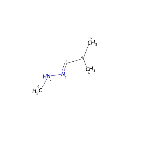 CNN=CC(C)C